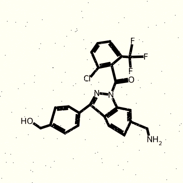 NCc1ccc2c(-c3ccc(CO)cc3)nn(C(=O)c3c(Cl)cccc3C(F)(F)F)c2c1